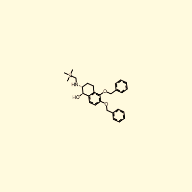 C[Si](C)(C)CN[C@@H]1CCc2c(ccc(OCc3ccccc3)c2OCc2ccccc2)[C@H]1O